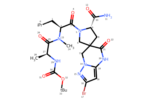 CC(C)C[C@@H](C(=O)N1CC2(C[C@H]1C(N)=O)Cn1nc(Br)cc1NC2=O)N(C)C(=O)[C@H](C)NC(=O)OC(C)(C)C